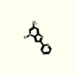 CCn1cc(C(F)(F)F)cc2nc(-c3ccccn3)cc1-2